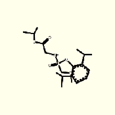 COCP(=O)(NCC(=O)OC(C)C)Oc1c(C(C)C)cccc1C(C)C